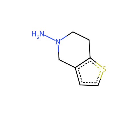 NN1CCc2sccc2C1